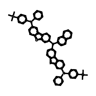 C[Si](C)(C)c1ccc(N(c2ccccc2)c2ccc3c(c2)sc2ccc(N(c4ccc5ccccc5c4)c4ccc5c(c4)oc4ccc(N(c6ccccc6)c6ccc([Si](C)(C)C)cc6)cc45)cc23)cc1